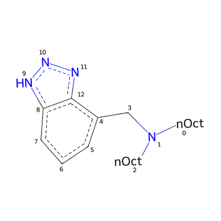 CCCCCCCCN(CCCCCCCC)Cc1cccc2[nH]nnc12